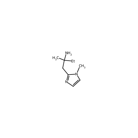 CCC(C)(N)Cc1nccn1C